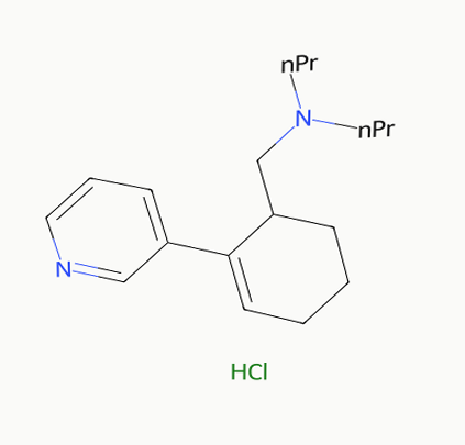 CCCN(CCC)CC1CCCC=C1c1cccnc1.Cl